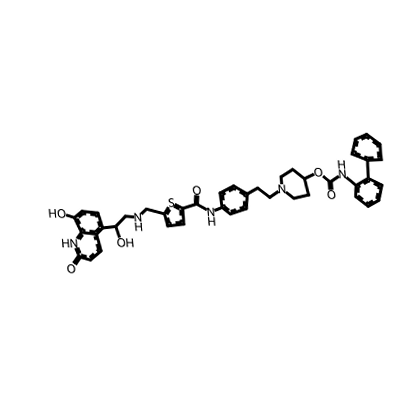 O=C(Nc1ccccc1-c1ccccc1)OC1CCN(CCc2ccc(NC(=O)c3ccc(CNCC(O)c4ccc(O)c5[nH]c(=O)ccc45)s3)cc2)CC1